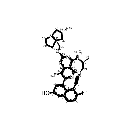 C#Cc1c(F)ccc2cc(O)cc(-c3nc4c5c(nc(OC[C@@]67CCCN6C[C@H](F)C7)nc5c3F)N(C(C)C)[C@@H](C)CO4)c12